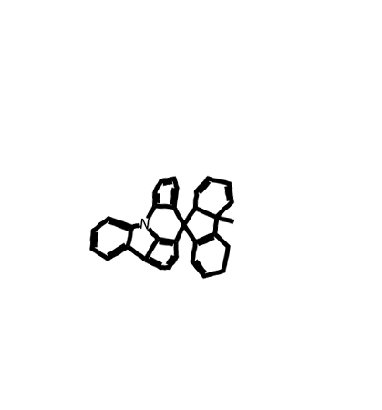 CC12C=CC=CC1C1(C3=C2CCC=C3)c2ccccc2-n2c3ccccc3c3cccc1c32